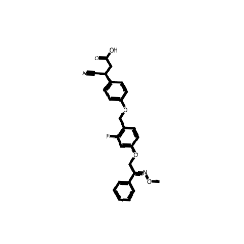 CON=C(COc1ccc(COc2ccc(C(C#N)CC(=O)O)cc2)c(F)c1)c1ccccc1